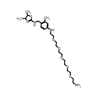 Cc1cc(NCCOCCOCCOCCOCCOCCN)ccc1CNC1=NC(C)C(C)S1